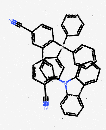 N#Cc1ccc([Si](c2ccccc2)(c2ccccc2)c2ccccc2)c(-c2ccc(C#N)c(-n3c4ccccc4c4ccccc43)c2)c1